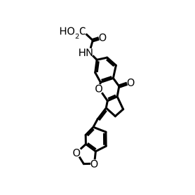 O=C(O)C(=O)Nc1ccc2c(=O)c3c(oc2c1)C(=Cc1ccc2c(c1)OCO2)CC3